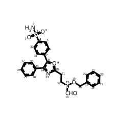 NS(=O)(=O)c1ccc(-c2oc(CCN(C=O)OCc3ccccc3)nc2-c2ccccc2)cc1